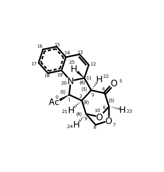 CC(=O)[C@@H]1[C@H]2[C@H](C(=O)[C@H]3OC[C@@H]2O3)[C@H]2C=Cc3ccccc3N21